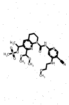 COCCNc1cc(NC(=O)N2CCCc3cc(C(C)OS(C)(=O)=O)c(C(OC)OC)nc32)ncc1C#N